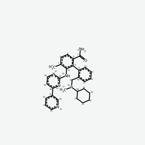 Cc1ccc(C(N)=O)c(-c2ccccc2CN(C)C2CCCCC2)c1Nc1nccc(-c2cccnc2)n1